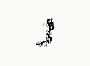 Cc1ncc(CNc2nccc(-c3csc(-c4cccc([C@]5(O)CCN(C)C5=O)c4)n3)n2)o1